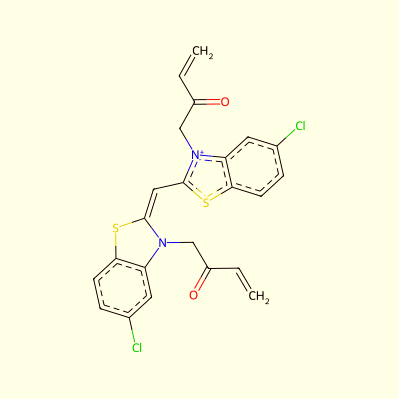 C=CC(=O)CN1C(=Cc2sc3ccc(Cl)cc3[n+]2CC(=O)C=C)Sc2ccc(Cl)cc21